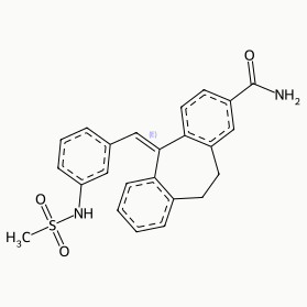 CS(=O)(=O)Nc1cccc(/C=C2\c3ccccc3CCc3cc(C(N)=O)ccc32)c1